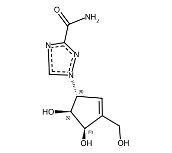 NC(=O)c1ncn([C@@H]2C=C(CO)[C@@H](O)[C@H]2O)n1